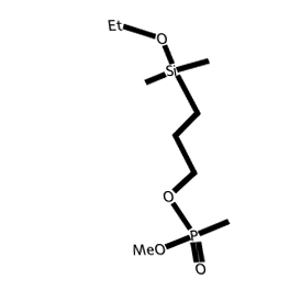 CCO[Si](C)(C)CCCOP(C)(=O)OC